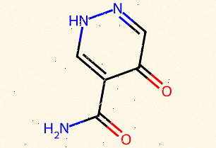 NC(=O)c1c[nH]ncc1=O